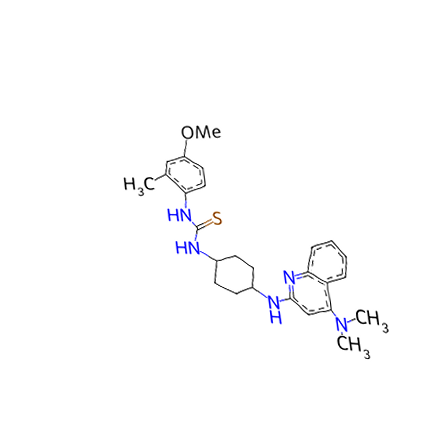 COc1ccc(NC(=S)NC2CCC(Nc3cc(N(C)C)c4ccccc4n3)CC2)c(C)c1